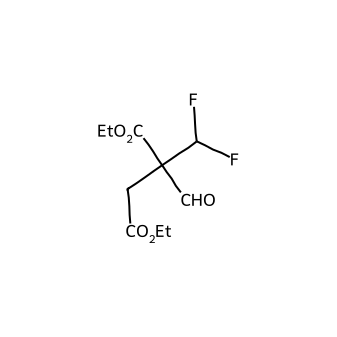 CCOC(=O)CC(C=O)(C(=O)OCC)C(F)F